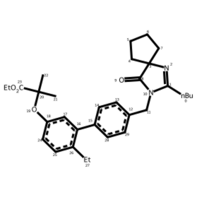 CCCCC1=NC2(CCCC2)C(=O)N1Cc1ccc(-c2cc(OC(C)(C)C(=O)OCC)ccc2CC)cc1